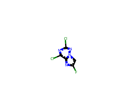 Fc1cn2nc(Cl)nc(Cl)c2n1